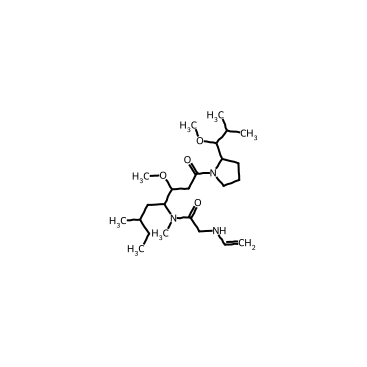 C=CNCC(=O)N(C)C(CC(C)CC)C(CC(=O)N1CCCC1C(OC)C(C)C)OC